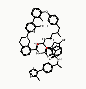 Cc1ncsc1-c1ccc(C(C)NC(=O)C2CC(O)CN2C(=O)C(NC(=O)CC(C)Cc2ccc(Oc3cccc(-c4ccc(N5CCc6cccc(C(=O)Nc7nc8ccccc8s7)c6C5)nc4C(=O)O)c3C)cc2)C(C)(C)C)cc1